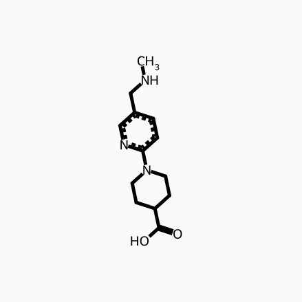 CNCc1ccc(N2CCC(C(=O)O)CC2)nc1